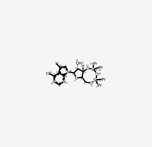 CC(C)[Si]1(C(C)C)OCC2OC(n3cc(I)c4c(Cl)ncnc43)[C@H](O)[C@@H]2O[Si](C(C)C)(C(C)C)O1